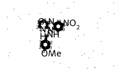 COc1ccc(CNN(c2ccc([N+](=O)[O-])cc2[N+](=O)[O-])C2CCCCN2)cc1